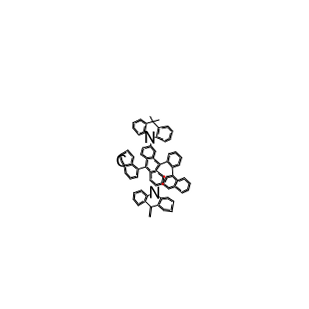 C=C1c2ccccc2N(c2ccc3c(-c4ccccc4-c4cccc5ccccc45)c4cc(N5c6ccccc6C(C)(C)c6ccccc65)ccc4c(-c4cccc5ccccc45)c3c2)c2ccccc21